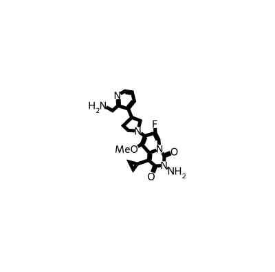 COc1c(N2CCC(c3cccnc3CN)C2)c(F)cn2c(=O)n(N)c(=O)c(C3CC3)c12